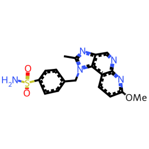 COc1ccc2c(ncc3nc(C)n(Cc4ccc(S(N)(=O)=O)cc4)c32)n1